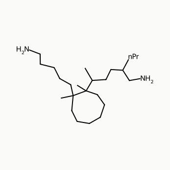 CCCC(CN)CCC(C)C1(C)CCCCCCC1(C)CCCCCN